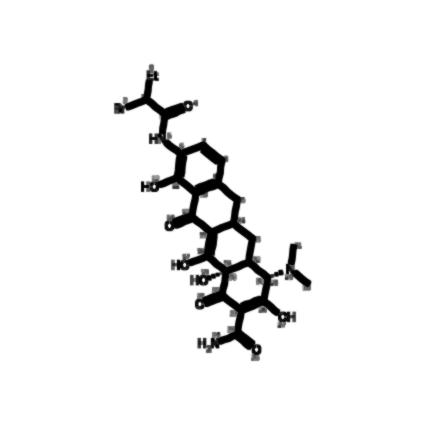 CCC(Br)C(=O)Nc1ccc2c(c1O)C(=O)C1=C(O)[C@]3(O)C(=O)C(C(N)=O)=C(O)[C@@H](N(C)C)C3CC1C2